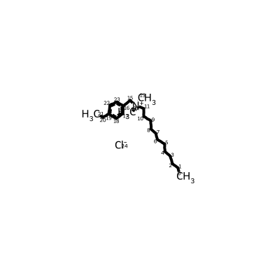 CCCCCCCCCCCC[N+](C)(C)Cc1ccc(CC)cc1.[Cl-]